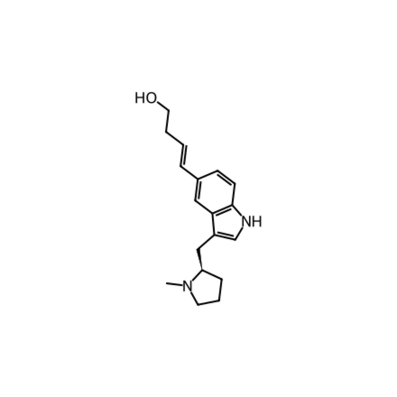 CN1CCC[C@@H]1Cc1c[nH]c2ccc(C=CCCO)cc12